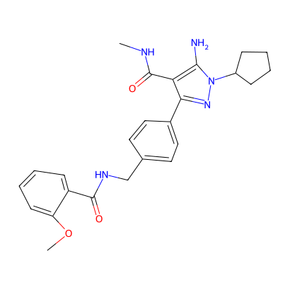 CNC(=O)c1c(-c2ccc(CNC(=O)c3ccccc3OC)cc2)nn(C2CCCC2)c1N